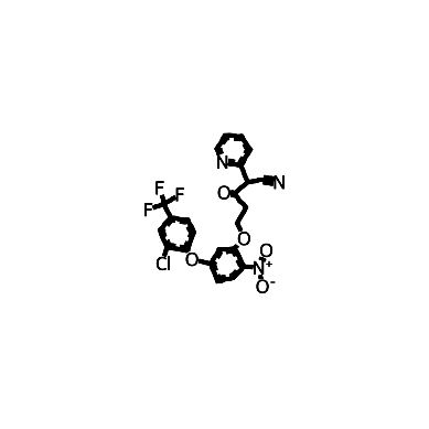 N#CC(C(=O)CCOc1cc(Oc2ccc(C(F)(F)F)cc2Cl)ccc1[N+](=O)[O-])c1ccccn1